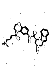 CN(C)CC=CC(=O)N1CCOc2ccc(NC(=O)C3CNCc4cc5ccccc5n43)cc21